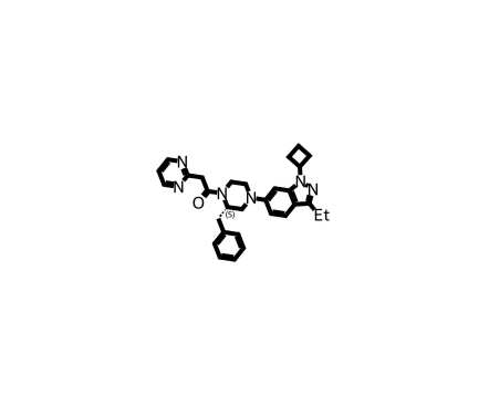 CCc1nn(C2CCC2)c2cc(N3CCN(C(=O)Cc4ncccn4)[C@@H](Cc4ccccc4)C3)ccc12